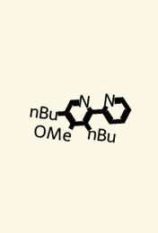 CCCCc1cnc(-c2ccccn2)c(CCCC)c1OC